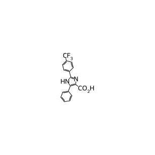 O=C(O)c1nc(-c2ccc(C(F)(F)F)cc2)[nH]c1-c1ccccc1